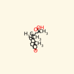 C[C@H](CCC[C@@H](C)C1CCC2C3CCC4=CC(=O)CC[C@]4(C)C3CC[C@@]21C)C(=O)O